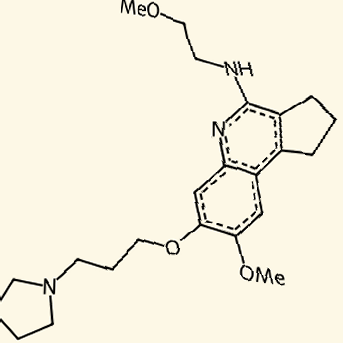 COCCNc1nc2cc(OCCCN3CCCC3)c(OC)cc2c2c1CCC2